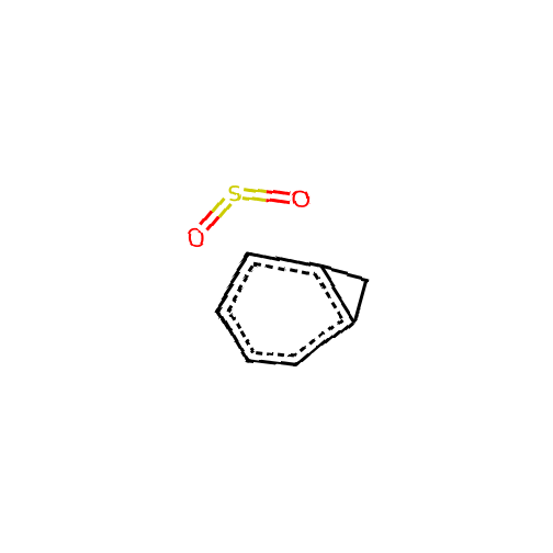 O=S=O.c1ccc2c(c1)C2